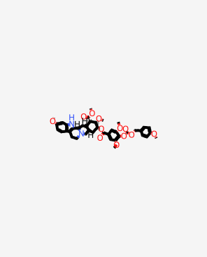 COC(=O)[C@H]1[C@H]2C[C@@H]3c4[nH]c5cc(OC)ccc5c4CCN3C[C@H]2C[C@@H](OC(=O)c2cc(OC)c(OC(=O)OCc3ccc(OC)cc3)c(OC)c2)[C@@H]1OC